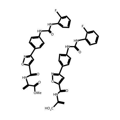 C=C(NC(=O)c1cc(-c2ccc(NC(=O)Nc3ccccc3F)cc2)no1)C(=O)O.C=C(NC(=O)c1cc(-c2ccc(NC(=O)Nc3ccccc3F)cc2)no1)C(=O)OC